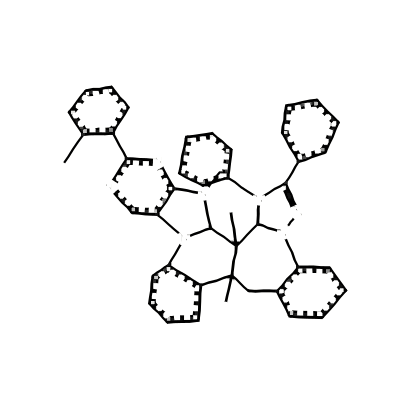 Cc1ccccc1-c1ncc2c(n1)N(C)C1N2c2ccccc2C2(C)Cc3ccccc3N3N=C(c4ccccc4)N(c4ccccc4)C3C12C